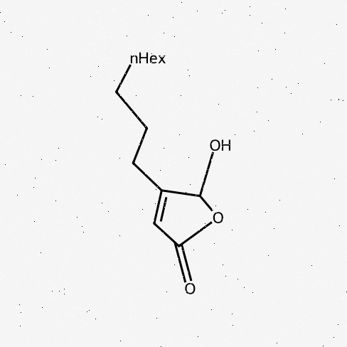 CCCCCCCCCC1=CC(=O)OC1O